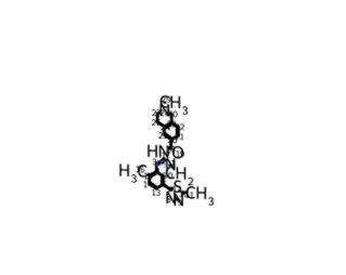 C=N/C(=C\c1cc(-c2nnc(C)s2)ccc1C)NC(=O)c1ccc2c(c1)CCN(C)C2